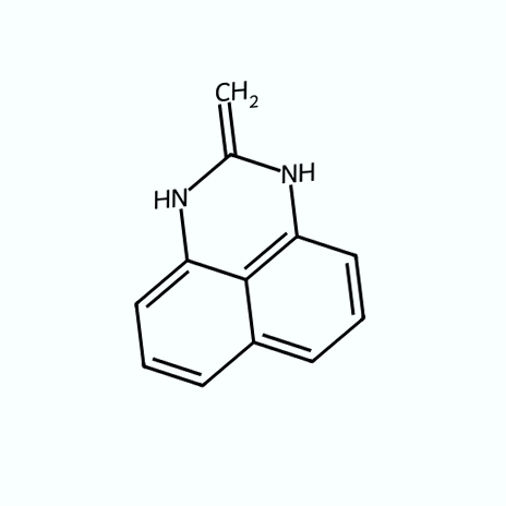 C=c1[nH]c2cccc3cccc([nH]1)c32